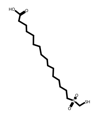 O=C(O)CCCCCCCCCCCCCCCS(=O)(=O)CS